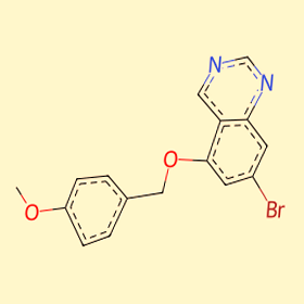 COc1ccc(COc2cc(Br)cc3ncncc23)cc1